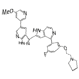 COc1cncc(-c2cnc3[nH]nc(-c4cc5c(-c6cc(F)cc(OCCN7CCCC7)c6)nccc5[nH]4)c3c2)c1